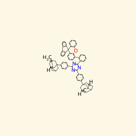 C[C@]12CC3C[C@@H](CC(c4ccc(-c5nc(-c6ccc(C78C[C@@H]9CC%10C[C@H](C7)C%10(C9)C8)cc6)nc(-c6ccccc6-c6cccc7c6Oc6ccccc6C76c7ccccc7-c7ccccc76)n5)cc4)(C3)C1)C2